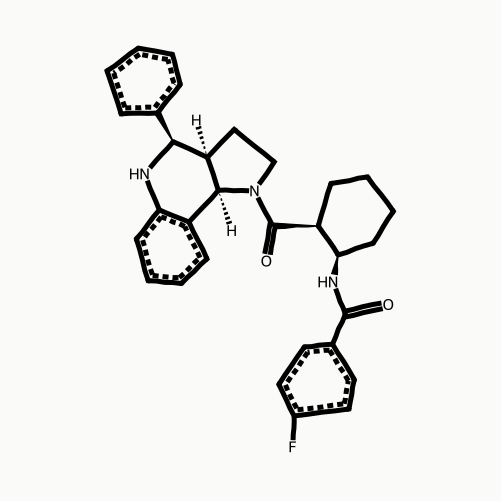 O=C(N[C@@H]1CCCC[C@@H]1C(=O)N1CC[C@@H]2[C@H](c3ccccc3)Nc3ccccc3[C@@H]21)c1ccc(F)cc1